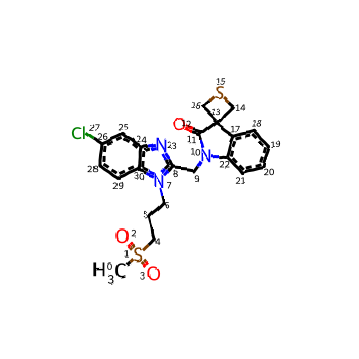 CS(=O)(=O)CCCn1c(CN2C(=O)C3(CSC3)c3ccccc32)nc2cc(Cl)ccc21